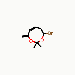 C=C1/C=C\CC(Br)OC(C)(C)O1